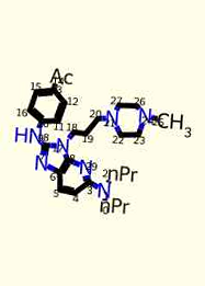 CCCN(CCC)c1ccc2nc(Nc3ccc(C(C)=O)cc3)n(CCCN3CCN(C)CC3)c2n1